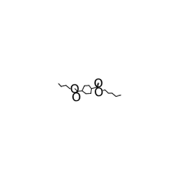 CCCCCOC(=O)C1CCC(C(=O)OCCCC)CC1